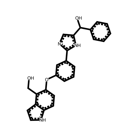 OCc1c(Oc2cccc(-c3ncc(C(O)c4ccccc4)[nH]3)c2)ccc2[nH]ccc12